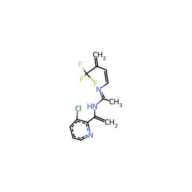 C=C(N/C(C)=N/C=C\C(=C)C(F)(F)F)c1ncccc1Cl